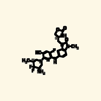 C[C@H]1CN(c2nc(Nc3ccc4c(c3)n(C[C@H]3COC(=O)N3)c(=O)n4C)c(F)cc2C#N)C[C@@H](N)C1(F)F